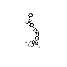 CC(C)(C)OC(=O)N1CCC(CN2CC3CN(c4ccc(C(=O)OCc5ccccc5)cc4)CC3C2)CC1